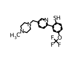 CN1CCN(Cc2ccc(-c3cc(OC(F)(F)F)ccc3S)nc2)CC1